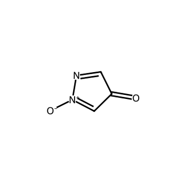 O=C1C=N[N+]([O-])=C1